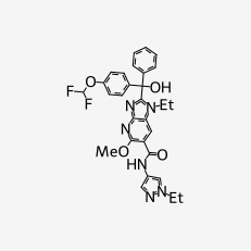 CCn1cc(NC(=O)c2cc3c(nc2OC)nc(C(O)(c2ccccc2)c2ccc(OC(F)F)cc2)n3CC)cn1